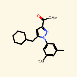 COC(=O)c1cc(CC2CCCCC2)n(-c2cc(C)cc(C(C)(C)C)c2)n1